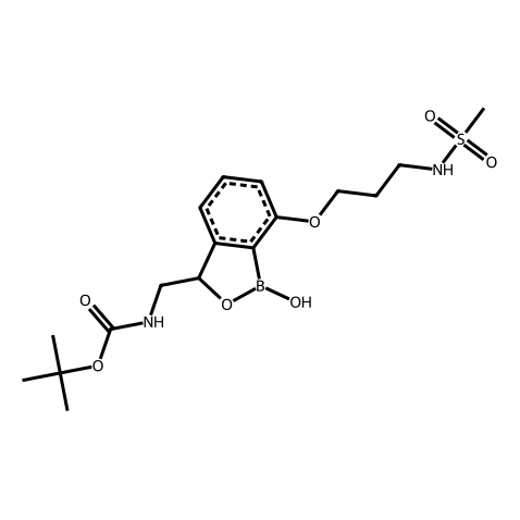 CC(C)(C)OC(=O)NCC1OB(O)c2c(OCCCNS(C)(=O)=O)cccc21